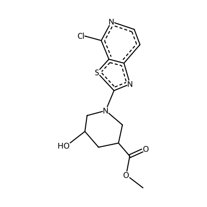 COC(=O)C1CC(O)CN(c2nc3ccnc(Cl)c3s2)C1